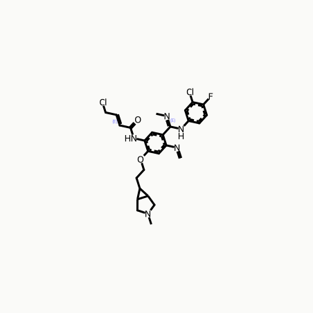 C=Nc1cc(OCCC2C3CN(C)CC23)c(NC(=O)/C=C/CCl)cc1/C(=N\C)Nc1ccc(F)c(Cl)c1